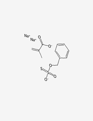 C=C(C)C(=O)[O-].O=S([O-])(=S)OCc1ccccc1.[Na+].[Na+]